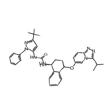 CC(C)c1nnc2ccc(OC3CCC(NC(=O)Nc4cc(C(C)(C)C)nn4-c4ccccc4)c4ccccc43)cn12